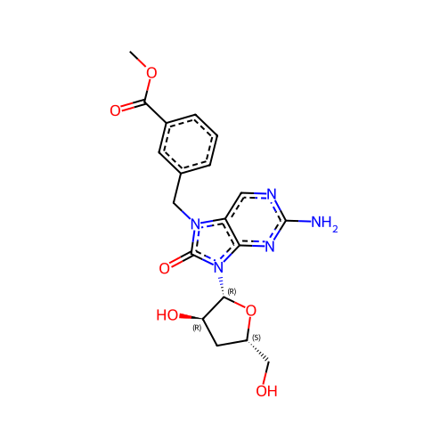 COC(=O)c1cccc(Cn2c(=O)n([C@@H]3O[C@H](CO)C[C@H]3O)c3nc(N)ncc32)c1